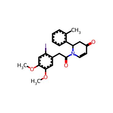 COc1cc(I)c(CC(=O)N2C=CC(=O)CC2c2ccccc2C)cc1OC